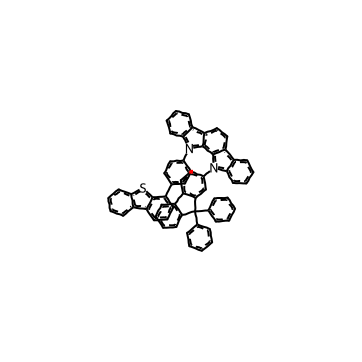 c1ccc(C2(c3ccccc3)c3ccccc3-c3ccc(-n4c5ccccc5c5ccc6c7ccccc7n(-c7ccc(-c8cccc9c8sc8ccccc89)cc7)c6c54)cc32)cc1